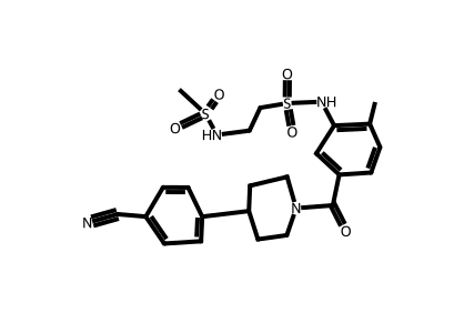 Cc1ccc(C(=O)N2CCC(c3ccc(C#N)cc3)CC2)cc1NS(=O)(=O)CCNS(C)(=O)=O